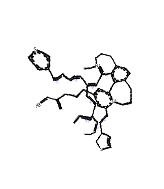 B=CC(=C)CCCc1cc(/C=C/C2C=CSC2)[n+]2c(c1)-c1c(ccc3c1C(/C=C(\C=C\C=C\c1ccsc1)/C=C/C(/C=C\C)=C/C)=[N+](C)CCC3)CCC2